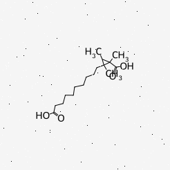 CC1C(C)(CCCCCCCCCC(=O)O)C1(C)C(=O)O